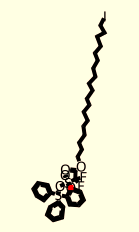 O=C(OCCCCCCCCCCCCCCCCCCCI)C(F)(F)S(=O)(=O)OS(c1ccccc1)(c1ccccc1)c1ccccc1